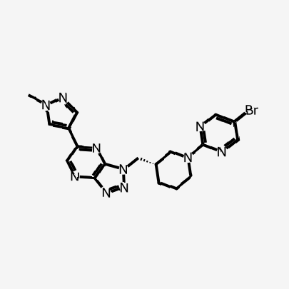 Cn1cc(-c2cnc3nnn(C[C@H]4CCCN(c5ncc(Br)cn5)C4)c3n2)cn1